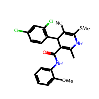 COc1ccccc1NC(=O)C1=C(C)NC(SC)=C(C#N)C1c1ccc(Cl)cc1Cl